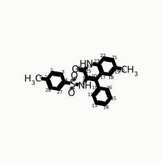 Cc1ccc(S(=O)(=O)Nc2c(-c3ccccc3)c3cc(C)ccc3[nH]c2=O)cc1